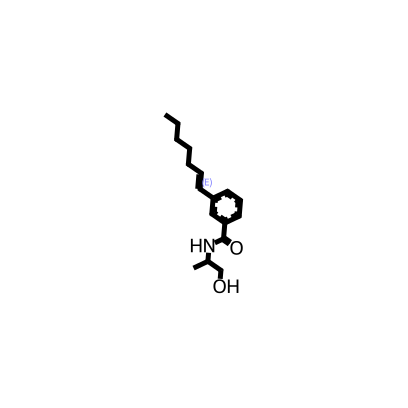 CCCCC/C=C/c1cccc(C(=O)NC(C)CO)c1